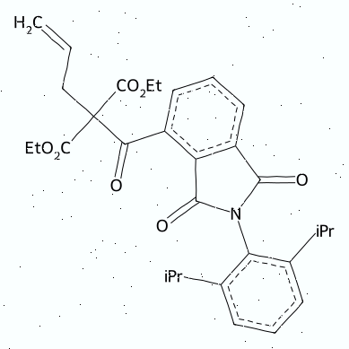 C=CCC(C(=O)OCC)(C(=O)OCC)C(=O)c1cccc2c1C(=O)N(c1c(C(C)C)cccc1C(C)C)C2=O